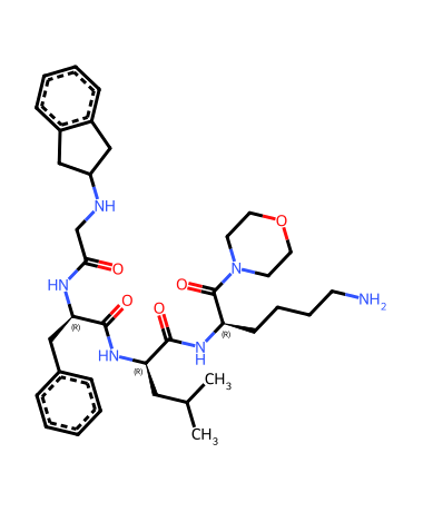 CC(C)C[C@@H](NC(=O)[C@@H](Cc1ccccc1)NC(=O)CNC1Cc2ccccc2C1)C(=O)N[C@H](CCCCN)C(=O)N1CCOCC1